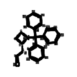 O=CC[C@@H]1CCN1C(c1ccccc1)(c1ccccc1)c1ccccc1